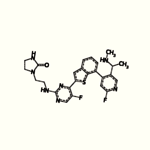 CNC(C)c1cnc(F)cc1-c1cccc2cc(-c3nc(NCCN4CCNC4=O)ncc3F)sc12